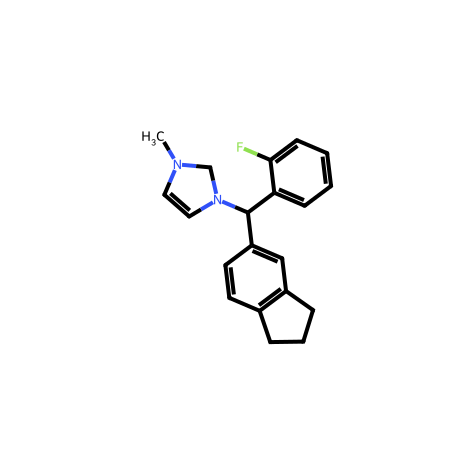 CN1C=CN(C(c2ccc3c(c2)CCC3)c2ccccc2F)C1